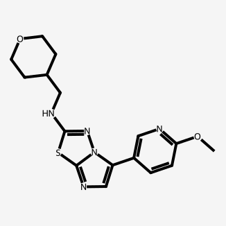 COc1ccc(-c2cnc3sc(NCC4CCOCC4)nn23)cn1